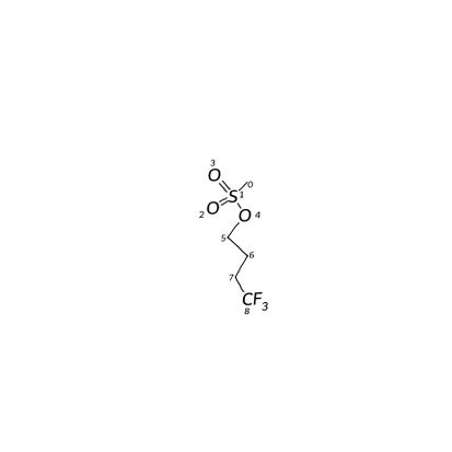 CS(=O)(=O)OCCCC(F)(F)F